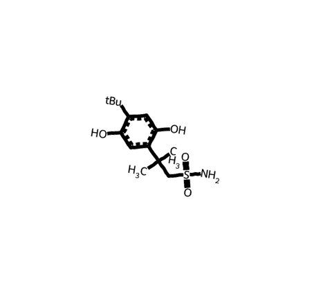 CC(C)(C)c1cc(O)c(C(C)(C)CS(N)(=O)=O)cc1O